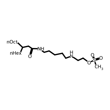 CCCCCCCCC(CCCCCC)CC(=O)NCCCCCNCCOS(C)(=O)=O